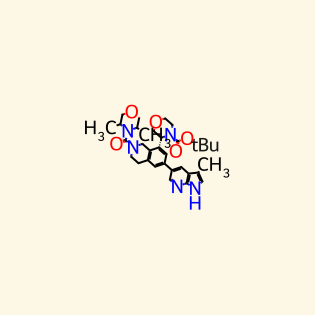 Cc1c[nH]c2ncc(-c3cc4c(c([C@@H]5COCCN5C(=O)OC(C)(C)C)c3)CN(C(=O)N3C(C)COCC3C)CC4)cc12